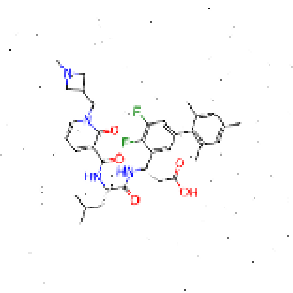 Cc1cc(C)c(-c2cc(F)c(F)c([C@H](CC(=O)O)NC(=O)[C@H](CC(C)C)NC(=O)c3cccn(CC4CN(C)C4)c3=O)c2)c(C)c1